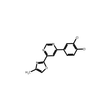 Cc1coc(-c2cc(-c3ccc(Cl)c(Cl)c3)ncn2)n1